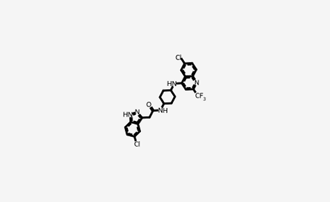 O=C(Cc1n[nH]c2ccc(Cl)cc12)NC1CCC(Nc2cc(C(F)(F)F)nc3ccc(Cl)cc23)CC1